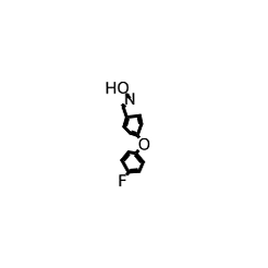 ON=Cc1ccc(Oc2ccc(F)cc2)cc1